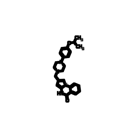 CC(C)Oc1ccc(N2CCN(Cc3cc4[nH]c(=O)c5ccccc5n4c3)CC2)cc1